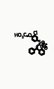 CS(=O)(=O)Oc1ccccc1/C(=C\CSc1ccc(OCC(=O)O)c(Cl)c1)c1ccccc1